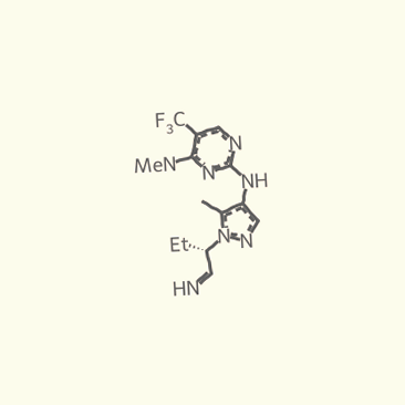 CC[C@@H](C=N)n1ncc(Nc2ncc(C(F)(F)F)c(NC)n2)c1C